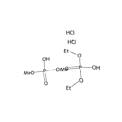 CCOP(=O)(O)OCC.COP(=O)(O)OC.Cl.Cl